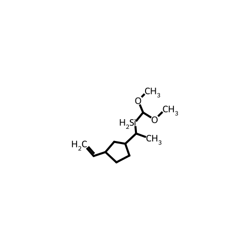 C=CC1CCC(C(C)[SiH2]C(OC)OC)C1